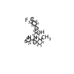 Cc1ccccc1CN(CC(O)COc1ccc(C(F)(F)F)cc1)C(=O)c1cscn1